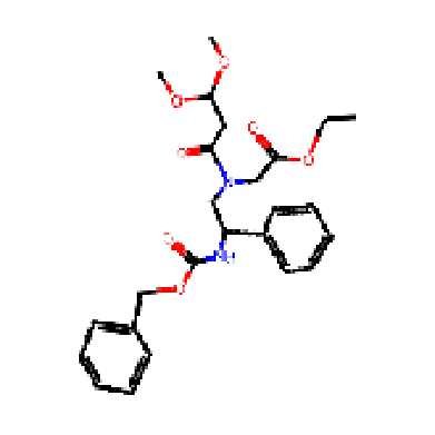 CCOC(=O)CN(CC(NC(=O)OCc1ccccc1)c1ccccc1)C(=O)CC(OC)OC